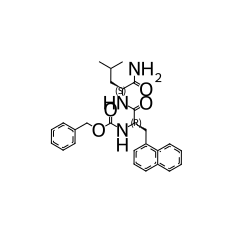 CC(C)C[C@H](NC(=O)[C@@H](Cc1cccc2ccccc12)NC(=O)OCc1ccccc1)C(N)=O